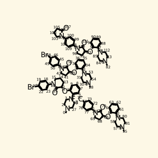 CN1CCN(c2ccccc2OC2CCCN(c3ccc(Br)cc3)C2=O)CC1.CN1CCN(c2ccccc2OC2CCN(c3ccc(Br)cc3)C2=O)CC1.CN1CCN(c2ccccc2OC2CCN(c3ccc(C(F)(F)F)cc3)C2=O)CC1.CN1CCN(c2ccccc2OC2CCN(c3ccc(N4CCCC4=O)cc3)C2=O)CC1